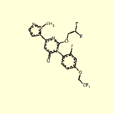 Cn1nccc1-c1cc(=O)n(-c2ccc(OCC(F)(F)F)cc2F)c(OCC(F)F)n1